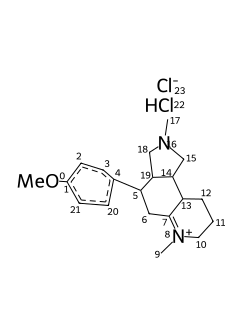 COc1ccc(C2CC3=[N+](C)CCCC3C3CN(C)CC23)cc1.Cl.[Cl-]